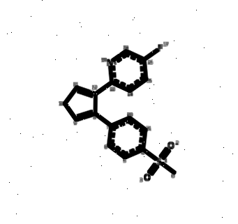 CS(=O)(=O)c1ccc(C2=CCC=C2c2ccc(F)cn2)cc1